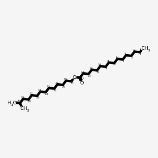 CCCCCCCCCCCCCCCC(=O)OCCCCCCCCCCCCC(C)C